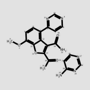 COc1ccc(-c2ccncn2)c2c(C(N)=O)c(C(C)=O)oc12.Nc1ccncn1